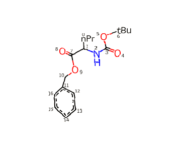 CCCC(NC(=O)OC(C)(C)C)C(=O)OCc1ccccc1